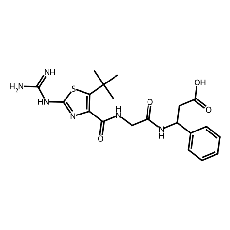 CC(C)(C)c1sc(NC(=N)N)nc1C(=O)NCC(=O)NC(CC(=O)O)c1ccccc1